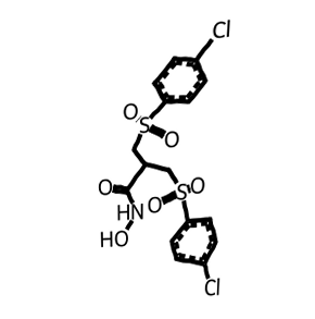 O=C(NO)C(CS(=O)(=O)c1ccc(Cl)cc1)CS(=O)(=O)c1ccc(Cl)cc1